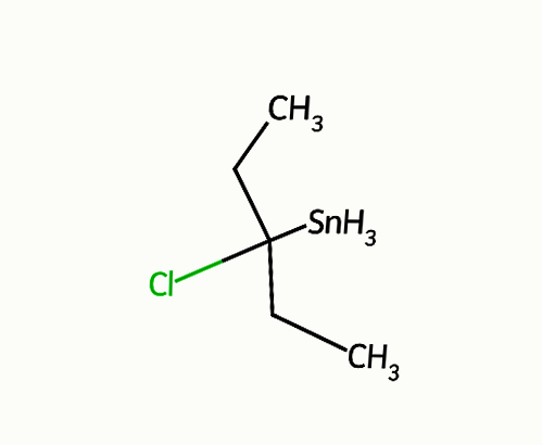 CC[C](Cl)([SnH3])CC